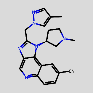 Cc1cnn(Cc2nc3cnc4ccc(C#N)cc4c3n2[C@H]2CCN(C)C2)c1